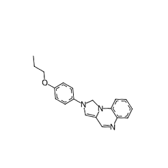 CCCOc1ccc(N2C=C3C=Nc4ccccc4N3C2)cc1